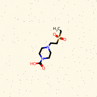 CCS(=O)(=O)CCN1CCN(C(=O)O)CC1